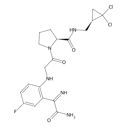 N=C(C(N)=O)c1cc(F)ccc1NCC(=O)N1CCC[C@H]1C(=O)NC[C@H]1CC1(Cl)Cl